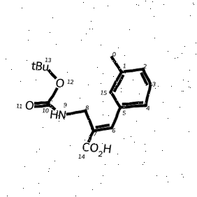 Cc1cccc(C=C(CNC(=O)OC(C)(C)C)C(=O)O)c1